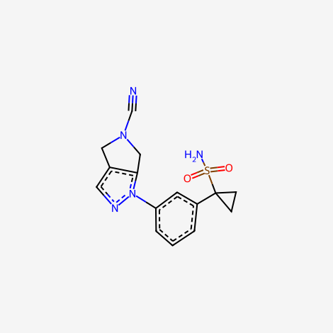 N#CN1Cc2cnn(-c3cccc(C4(S(N)(=O)=O)CC4)c3)c2C1